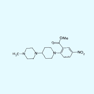 COC(=O)c1cc([N+](=O)[O-])ccc1N1CCC(N2CCN(C)CC2)CC1